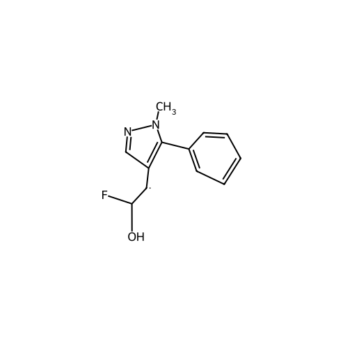 Cn1ncc([CH]C(O)F)c1-c1ccccc1